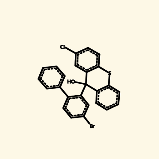 OC1(c2cc(Br)ccc2-c2ccccc2)c2ccccc2Sc2ccc(Cl)cc21